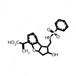 C=C(C(=O)O)c1cccc2c1OC1CC(O)C(CNS(=O)(=O)c3ccccc3)C21